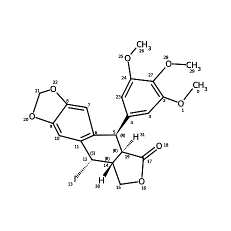 COc1cc([C@@H]2c3cc4c(cc3[C@@H](I)[C@H]3COC(=O)[C@H]23)OCO4)cc(OC)c1OC